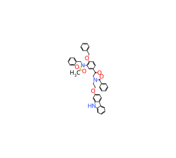 CS(=O)(=O)N(Cc1ccccc1)c1cc(C(=O)CN(CCOc2ccc3c(c2)[nH]c2ccccc23)C(=O)c2ccccc2)ccc1OCc1ccccc1